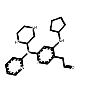 O=CCc1cnc(N(c2ccccn2)C2CNCCN2)cc1NC1CCCC1